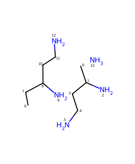 CC(N)CCN.CCC(N)CCN.N